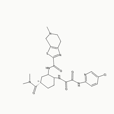 CN1CCc2nc(C(=O)NC3C[C@@H](C(=O)N(C)C)CCC3NC(=O)C(=O)Nc3ccc(Cl)cn3)sc2C1